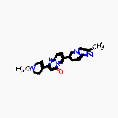 Cc1cn2cc(-c3ccc4nc(C5=CCN(C)CC5)cc(=O)n4c3)ccc2n1